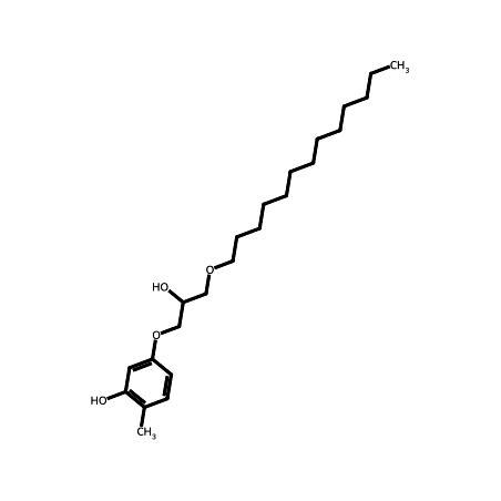 CCCCCCCCCCCCCOCC(O)COc1ccc(C)c(O)c1